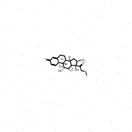 C[C@@H]1C[C@H]2[C@@H]3CCC4=CC(=O)C=C[C@]4(C)[C@@]3(F)[C@@H](O)C[C@]2(C)[C@@]1(O)C(=O)COI